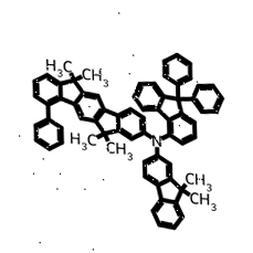 CC1(C)c2ccccc2-c2ccc(N(c3ccc4c(c3)C(C)(C)c3cc5c(cc3-4)C(C)(C)c3cccc(-c4ccccc4)c3-5)c3cccc4c3-c3ccccc3C4(c3ccccc3)c3ccccc3)cc21